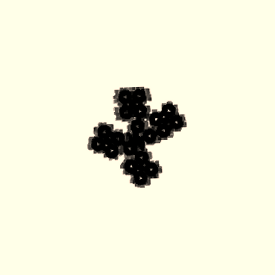 c1ccc2c(c1)-c1ccccc1C21c2ccccc2-c2ccc(-c3ccc(-c4nc5c(-c6ccc7c(c6)C6(c8ccccc8-c8ccccc86)c6ccccc6-7)ccc(-c6ccc7c(c6)C6(c8ccccc8-c8ccccc86)c6ccccc6-7)c5nc4-c4ccc(-c5ccc6c(c5)C5(c7ccccc7-c7ccccc75)c5ccccc5-6)cc4)cc3)cc21